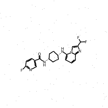 O=C(N[C@H]1CC[C@@H](Nc2cccc3nc(C(F)F)cn23)CC1)c1ccc(F)nc1